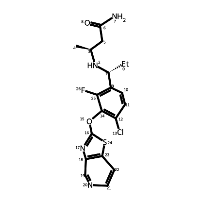 CC[C@@H](N[C@@H](C)CC(N)=O)c1ccc(Cl)c(Oc2nc3cnccc3s2)c1F